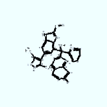 CCOc1nc2c(C(O)(c3ccccn3)c3ccc4ccc(F)cc4n3)cc(-c3c(C)noc3C)cc2[nH]1